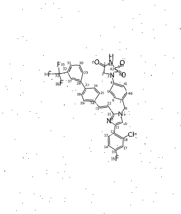 O=C1CN(c2ccc(Cn3cc(-c4ccc(F)cc4Cl)nc3C=Cc3ccc(-c4cccc(C(F)(F)F)c4)cc3)cc2)S(=O)(=O)N1